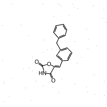 O=C1NC(=O)C(=Cc2cccc(Cc3ccccc3)c2)O1